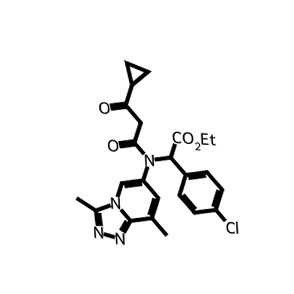 CCOC(=O)C(c1ccc(Cl)cc1)N(C(=O)CC(=O)C1CC1)c1cc(C)c2nnc(C)n2c1